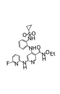 CCONC(=O)c1cnc(Nc2cccc(F)n2)cc1Nc1ccccc1NS(=O)(=O)C1CC1